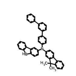 CC1(C)c2ccccc2-c2ccc(N(c3ccc(-c4cccc(-c5ccccc5)c4)cc3)c3ccc4c(c3)-c3ccccc3B4)cc21